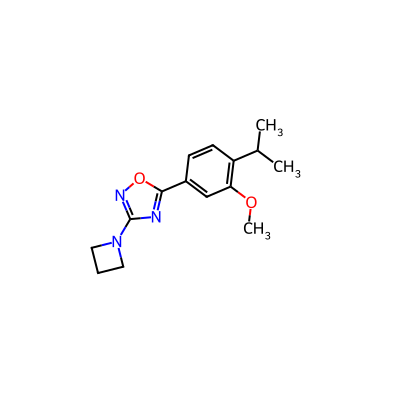 COc1cc(-c2nc(N3CCC3)no2)ccc1C(C)C